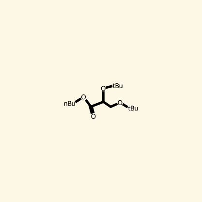 CCCCOC(=O)C(COC(C)(C)C)OC(C)(C)C